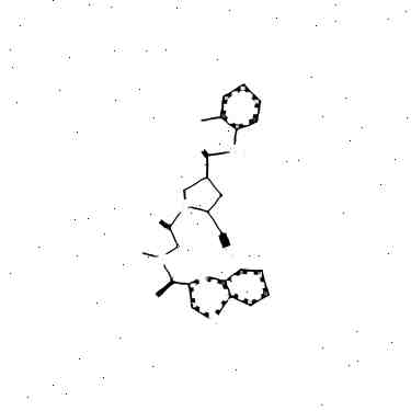 Cc1ccccc1NC(=O)C1CC(C#N)N(C(=O)CN(C)C(=O)c2cnc3ccccc3n2)C1